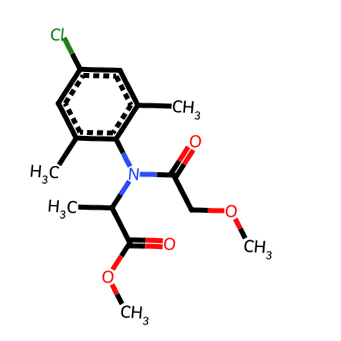 COCC(=O)N(c1c(C)cc(Cl)cc1C)C(C)C(=O)OC